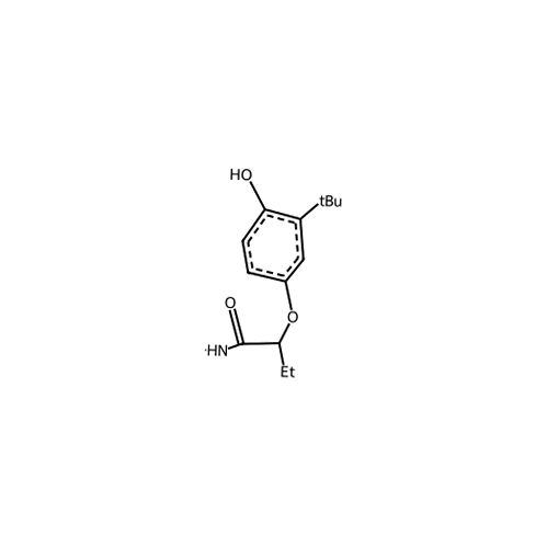 CCC(Oc1ccc(O)c(C(C)(C)C)c1)C([NH])=O